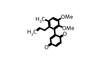 C=CCc1c(C)cc(OC)c(OC)c1C1=CC(=O)C=CC1=O